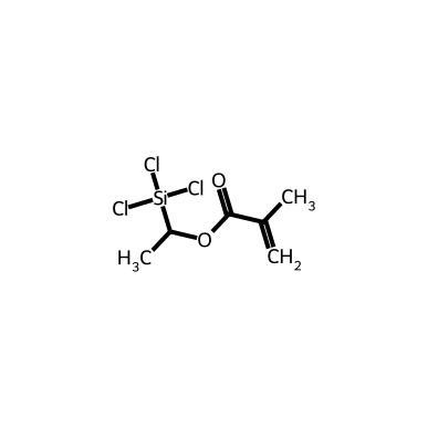 C=C(C)C(=O)OC(C)[Si](Cl)(Cl)Cl